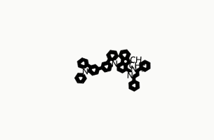 CC1(C)c2ccccc2-c2c(-n3c4ccccc4c4cc(-c5ccc6c(c5)c5ccccc5n6-c5ccccc5)ccc43)ccc(-c3nc(-c4ccccc4)cc(-c4ccccc4)n3)c21